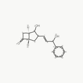 O=C1C[C@H]2C(O)C(C=CC(O)c3ccccc3)C[C@H]12